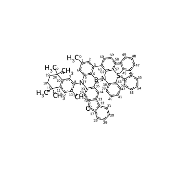 Cc1cc2c3c(c1)N(c1cc4c(cc1C)C(C)(C)CCC4(C)C)c1cc4oc5ccccc5c4cc1B3N1c3ccccc3S(c3ccccc3)(c3ccccc3)c3cccc-2c31